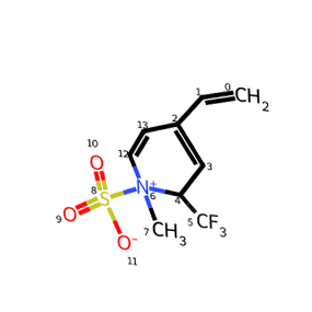 C=CC1=CC(C(F)(F)F)[N+](C)(S(=O)(=O)[O-])C=C1